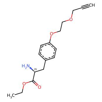 C#CCOCCOc1ccc(C[C@H](N)C(=O)OCC)cc1